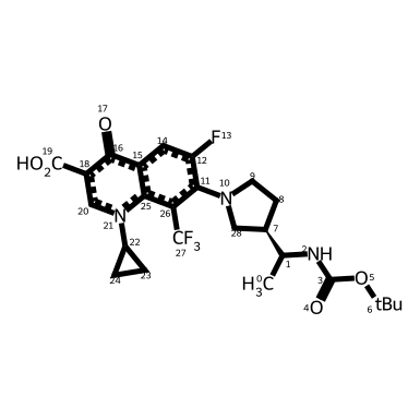 CC(NC(=O)OC(C)(C)C)[C@@H]1CCN(c2c(F)cc3c(=O)c(C(=O)O)cn(C4CC4)c3c2C(F)(F)F)C1